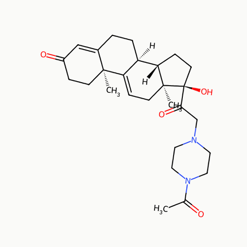 CC(=O)N1CCN(CC(=O)[C@@]2(O)CC[C@H]3[C@@H]4CCC5=CC(=O)CC[C@]5(C)C4=CC[C@@]32C)CC1